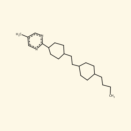 CCCCC1CCC(CCC2CCC(c3ncc(C)cn3)CC2)CC1